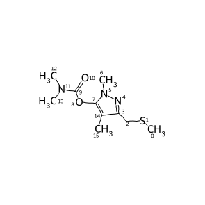 CSCc1nn(C)c(OC(=O)N(C)C)c1C